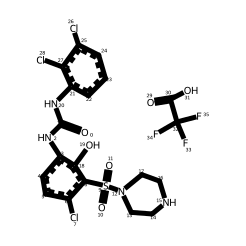 O=C(Nc1ccc(Cl)c(S(=O)(=O)N2CCNCC2)c1O)Nc1cccc(Cl)c1Cl.O=C(O)C(F)(F)F